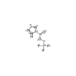 O=C(OCC(F)(F)F)c1ncn[nH]1